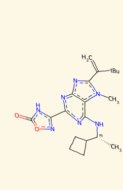 C=C(c1nc2nc(-c3noc(=O)[nH]3)nc(N[C@H](C)C3CCC3)c2n1C)C(C)(C)C